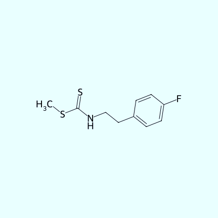 CSC(=S)NCCc1ccc(F)cc1